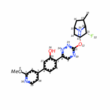 COc1cc(-c2ccc(-c3cnc(O[C@@H]4CC5CC(C)C(N5)[C@@H]4F)nn3)c(O)c2)ccn1